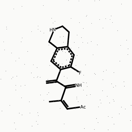 C=C(C(=N)/C(C)=C\C(C)=O)c1cc2c(cc1F)CCNC2